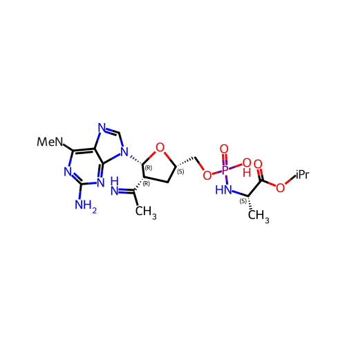 CNc1nc(N)nc2c1ncn2[C@@H]1O[C@H](COP(=O)(O)N[C@@H](C)C(=O)OC(C)C)C[C@@H]1C(C)=N